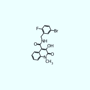 Cn1c(=O)c(O)c(C(=O)NCc2cc(Br)ccc2F)c2ccccc21